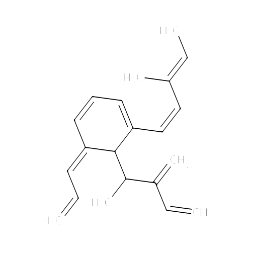 C=C/C=C1/C=CC=C(/C=C\C(C)=C\C)C1C(C)C(=C)C=C